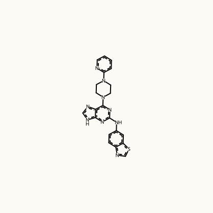 c1ccc(N2CCN(c3nc(Nc4ccc5ncsc5c4)nc4[nH]cnc34)CC2)nc1